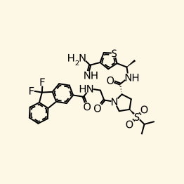 CC(C)S(=O)(=O)[C@@H]1C[C@@H](C(=O)N[C@H](C)c2cc(C(=N)N)cs2)N(C(=O)CNC(=O)c2ccc3c(c2)-c2ccccc2C3(F)F)C1